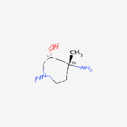 C[C@@]1(N)CCNC[C@@H]1O